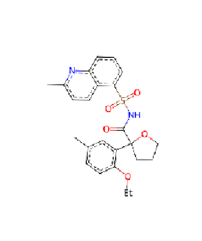 CCOc1ccc(C)cc1C1(C(=O)NS(=O)(=O)c2cccc3nc(C)ccc23)CCCO1